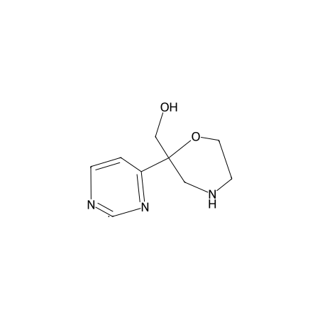 OCC1(c2ccn[c]n2)CNCCO1